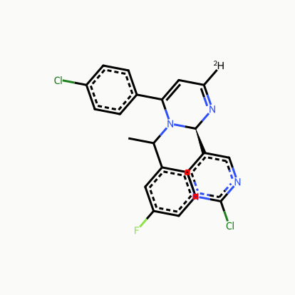 [2H]C1=N[C@@H](c2cnc(Cl)nc2)N(C(C)c2cccc(F)c2)C(c2ccc(Cl)cc2)=C1